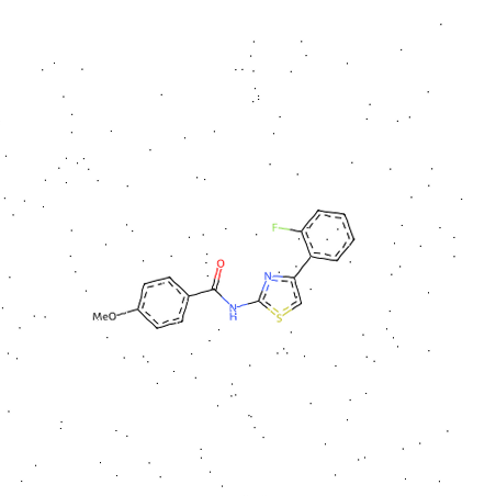 COc1ccc(C(=O)Nc2nc(-c3ccccc3F)cs2)cc1